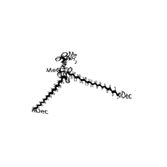 CCCCCCCCCCCCCCCCCCCCCCCCCCCCCC(=O)N(C(=O)CCCCCCCCCCCCCCCCCCCCCCCCCCCCC)[C@@H](CSSCC(N)C(=O)OC)C(=O)OC